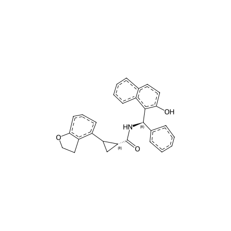 O=C(N[C@H](c1ccccc1)c1c(O)ccc2ccccc12)[C@@H]1CC1c1cccc2c1CCO2